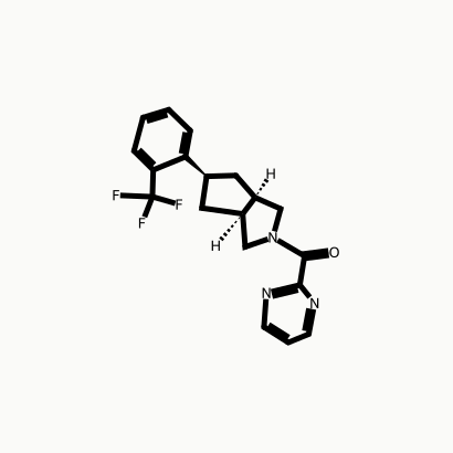 O=C(c1ncccn1)N1C[C@H]2C[C@@H](c3ccccc3C(F)(F)F)C[C@H]2C1